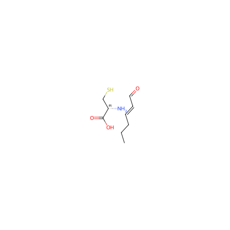 CCCC=CC=O.N[C@@H](CS)C(=O)O